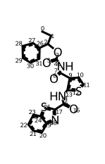 CCC(OC(=O)NC(=O)c1ccsc1NC(=O)c1nc2ccccc2s1)c1ccccc1